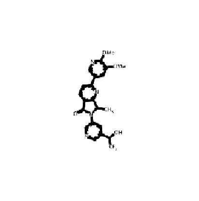 COc1cc(-c2ccc3c(n2)C(C)N(c2cncc(C(O)C(F)(F)F)c2)C3=O)cnc1OC